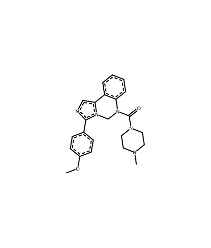 COc1ccc(-c2ncc3n2CN(C(=O)N2CCN(C)CC2)c2ccccc2-3)cc1